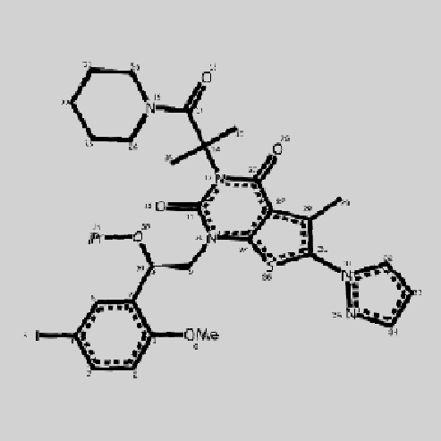 COc1ccc(I)cc1[C@H](Cn1c(=O)n(C(C)(C)C(=O)N2CCCCC2)c(=O)c2c(C)c(-n3cccn3)sc21)OC(C)C